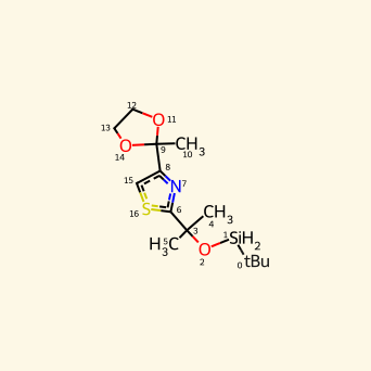 CC(C)(C)[SiH2]OC(C)(C)c1nc(C2(C)OCCO2)cs1